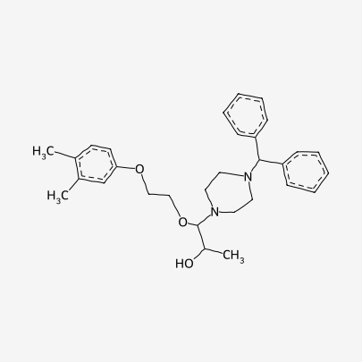 Cc1ccc(OCCOC(C(C)O)N2CCN(C(c3ccccc3)c3ccccc3)CC2)cc1C